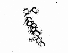 CCC(=O)O[C@H](C(C)O)[C@H]1C[C@@H](C)C2[C@H](O1)C(=O)[C@@]1(C)[C@@H]3CC[C@H]4C(C)(C)[C@@H](O[C@H]5CN(C6CCOCC6)CCO5)CC[C@@]45C[C@@]35CC[C@]21C